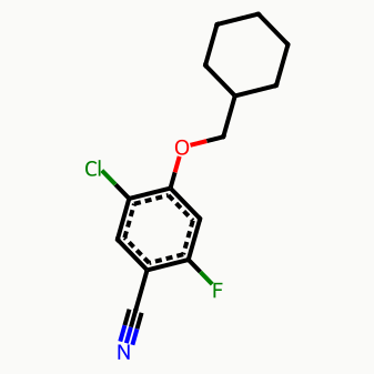 N#Cc1cc(Cl)c(OCC2CCCCC2)cc1F